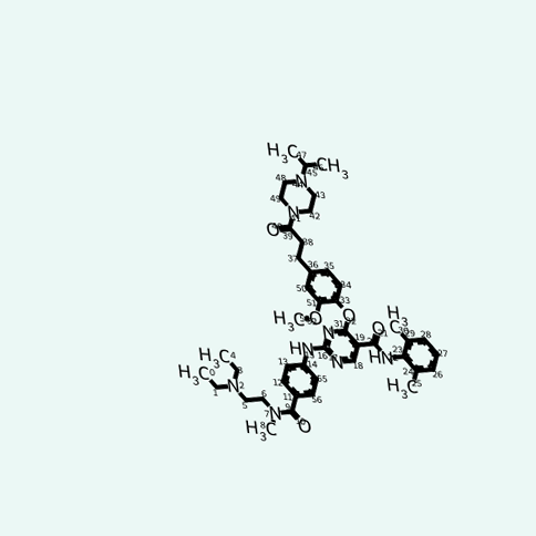 CCN(CC)CCN(C)C(=O)c1ccc(Nc2ncc(C(=O)Nc3c(C)cccc3C)c(Oc3ccc(CCC(=O)N4CCN(C(C)C)CC4)cc3OC)n2)cc1